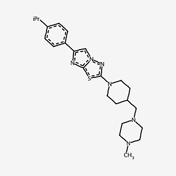 CC(C)c1ccc(-c2cn3nc(N4CCC(CN5CCN(C)CC5)CC4)sc3n2)cc1